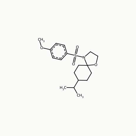 COc1ccc(S(=O)(=O)N2CCOC23CCC(C(C)C)CC3)cc1